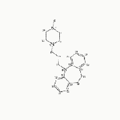 CN1CCN(CCCN2c3ccccc3CCc3ccccc32)CC1